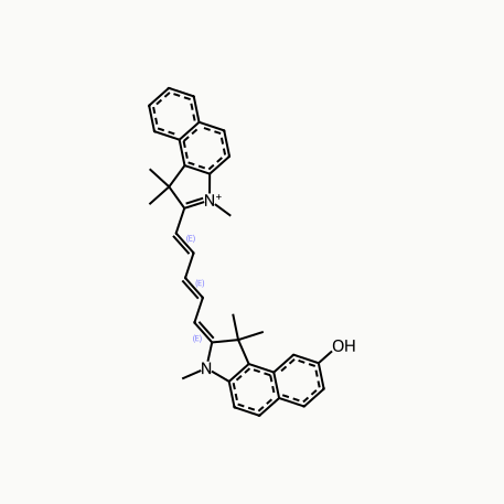 CN1/C(=C/C=C/C=C/C2=[N+](C)c3ccc4ccccc4c3C2(C)C)C(C)(C)c2c1ccc1ccc(O)cc21